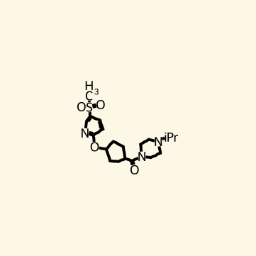 CC(C)N1CCN(C(=O)C2CCC(Oc3ccc(S(C)(=O)=O)cn3)CC2)CC1